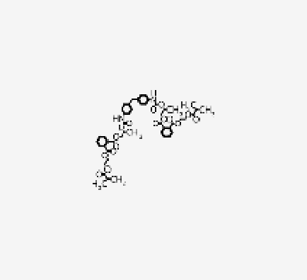 C=C(C)C(=O)OCCOC(=O)c1ccccc1C(=O)OCC(C)OC(=O)Nc1ccc(Cc2ccc(NC(=O)OC(C)COC(=O)c3ccccc3C(=O)OCCOC(=O)C(=C)C)cc2)cc1